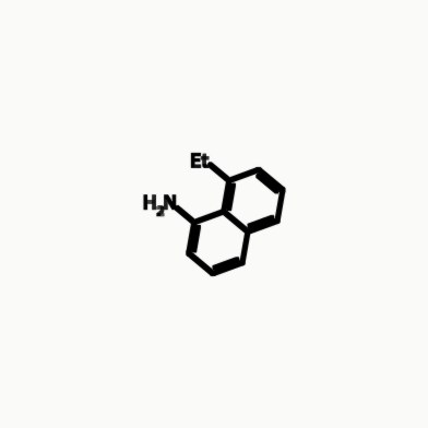 CCc1cccc2cccc(N)c12